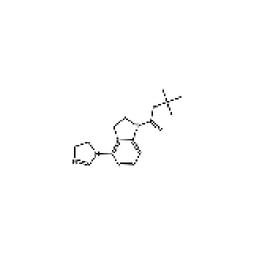 C=C(CC(C)(C)C)N1CCc2c(N3C=NCC3)cccc21